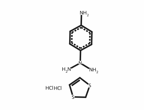 C1=CSCS1.Cl.Cl.Nc1ccc(N(N)N)cc1